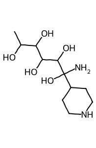 CC(O)C(O)C(O)C(O)C(N)(O)C1CCNCC1